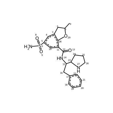 CC1Cc2cc(S(N)(=O)=O)cc(C(=O)NC(Cc3ccccc3)C3CCCN3)c2O1